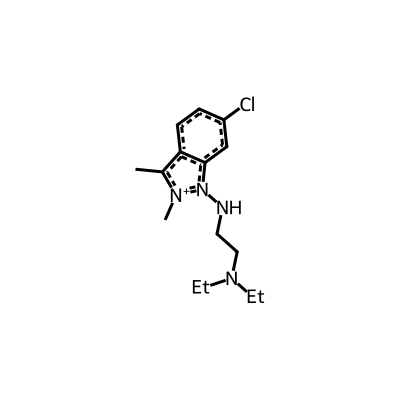 CCN(CC)CCNn1c2cc(Cl)ccc2c(C)[n+]1C